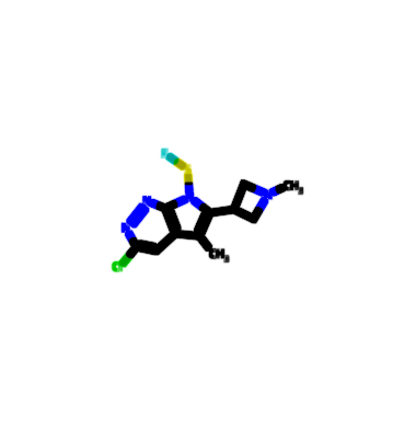 Cc1c(C2CN(C)C2)n(SF)c2nnc(Cl)cc12